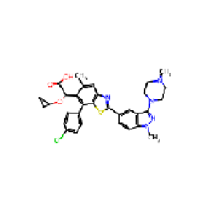 Cc1cc2nc(-c3ccc4c(c3)c(N3CCN(C)CC3)nn4C)sc2c(-c2ccc(Cl)cc2)c1[C@H](OC1CC1)C(=O)O